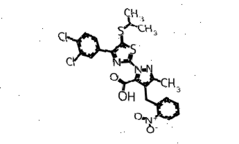 Cc1nn(-c2nc(-c3ccc(Cl)c(Cl)c3)c(SC(C)C)s2)c(C(=O)O)c1Cc1ccccc1[N+](=O)[O-]